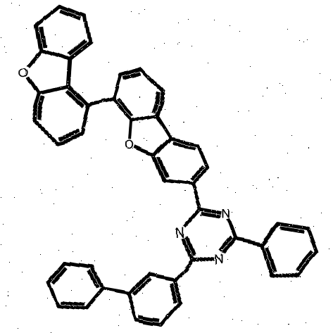 c1ccc(-c2cccc(-c3nc(-c4ccccc4)nc(-c4ccc5c(c4)oc4c(-c6cccc7oc8ccccc8c67)cccc45)n3)c2)cc1